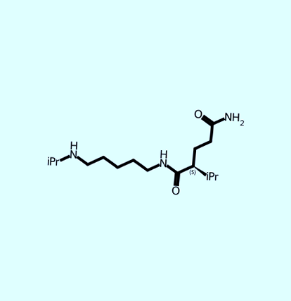 CC(C)NCCCCCNC(=O)[C@@H](CCC(N)=O)C(C)C